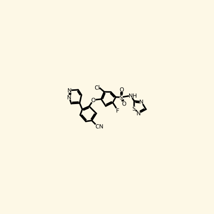 N#Cc1ccc(-c2ccnnc2)c(Oc2cc(F)c(S(=O)(=O)Nc3ncns3)cc2Cl)c1